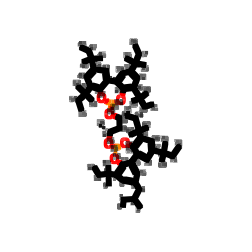 CCC(C)Cc1cc(C(C)(C)CC)c2op(O[C@H](C)C[C@@H](C)Op3oc4c(C(C)(C)CC)cc(C(C)(C)CC)cc4c4cc(C(C)(C)CC)cc(C(C)(C)CC)c4o3)oc3c(C(C)(C)CC)cc(C(C)(C)CC)cc3c2c1